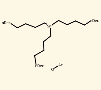 CC(=O)[O-].CCCCCCCCCCCCC[CH2][Sn+]([CH2]CCCCCCCCCCCCC)[CH2]CCCCCCCCCCCCC